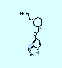 CC(C)/N=c1/cc(OC[C@@H]2CCCN(CCO)C2)cc[nH]1